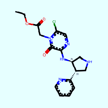 CCOC(=O)Cn1c(Cl)cnc(N[C@H]2CNC[C@@H]2c2ccccn2)c1=O